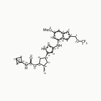 COc1cc2nc(COC(F)(F)F)cn2c(Nc2cc([C@H]3C[C@@H](F)[C@@H](OC(=O)NC45CC(C4)C5)C3)[nH]n2)n1